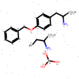 CC(C)CC(N)C(=O)O.NC(Cc1ccc(OCc2ccccc2)cc1)C(=O)O.OB(O)O